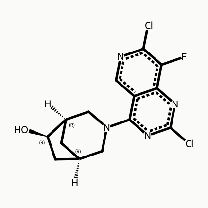 O[C@@H]1C[C@H]2C[C@@H]1CN(c1nc(Cl)nc3c(F)c(Cl)ncc13)C2